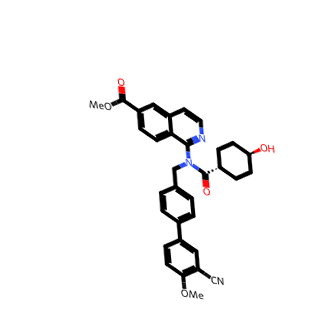 COC(=O)c1ccc2c(N(Cc3ccc(-c4ccc(OC)c(C#N)c4)cc3)C(=O)[C@H]3CC[C@H](O)CC3)nccc2c1